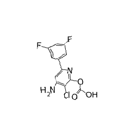 Nc1cc(-c2cc(F)cc(F)c2)nc(OC(=O)O)c1Cl